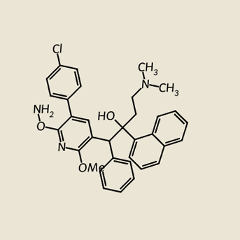 COc1nc(ON)c(-c2ccc(Cl)cc2)cc1C(c1ccccc1)C(O)(CCN(C)C)c1cccc2ccccc12